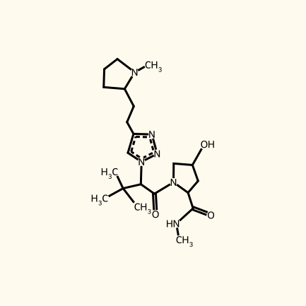 CNC(=O)C1CC(O)CN1C(=O)C(n1cc(CCC2CCCN2C)nn1)C(C)(C)C